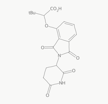 CC(C)(C)C(Oc1cccc2c1C(=O)N(C1CCC(=O)NC1=O)C2=O)C(=O)O